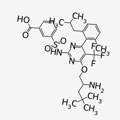 Cc1cccc(CC(C)C)c1-c1nc(NS(=O)(=O)c2cccc(C(=O)O)c2)nc(OCC(N)CC(C)(C)C)c1C(F)(F)F